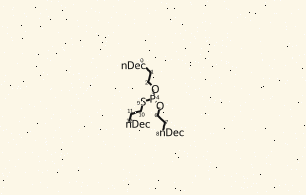 CCCCCCCCCCCCOP(OCCCCCCCCCCCC)SCCCCCCCCCCCC